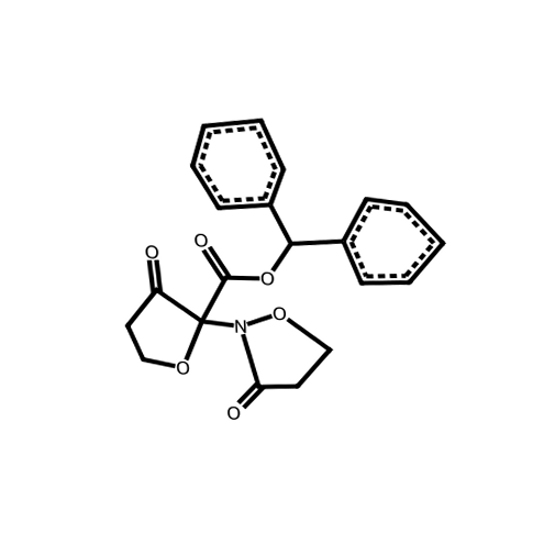 O=C1CCON1C1(C(=O)OC(c2ccccc2)c2ccccc2)OCCC1=O